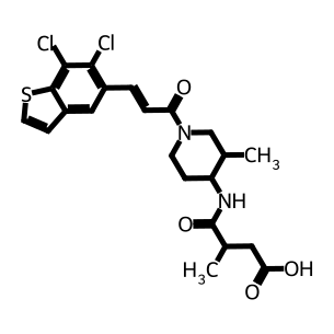 CC(CC(=O)O)C(=O)NC1CCN(C(=O)C=Cc2cc3ccsc3c(Cl)c2Cl)CC1C